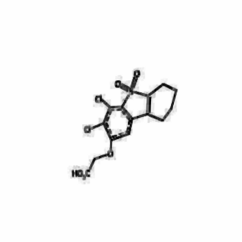 O=C(O)COc1cc2c(c(Cl)c1Cl)S(=O)(=O)C1=C2CCCC1